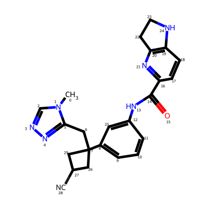 Cn1cnnc1CC1(c2cccc(NC(=O)c3ccc4c(n3)CCN4)c2)CC(C#N)C1